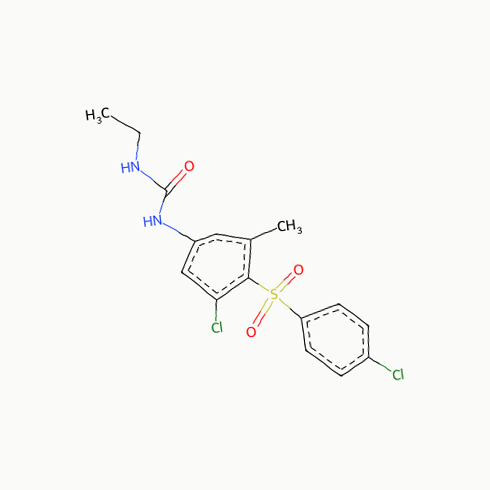 CCNC(=O)Nc1cc(C)c(S(=O)(=O)c2ccc(Cl)cc2)c(Cl)c1